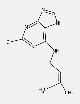 CC(C)=CCNc1nc(Cl)nc2nc[nH]c12